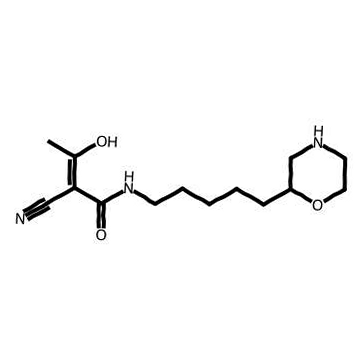 CC(O)=C(C#N)C(=O)NCCCCCC1CNCCO1